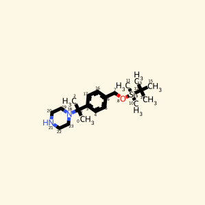 CC(C)(c1ccc(CO[Si](C)(C)C(C)(C)C)cc1)N1CCNCC1